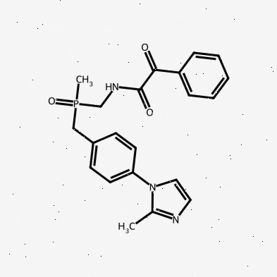 Cc1nccn1-c1ccc(CP(C)(=O)CNC(=O)C(=O)c2ccccc2)cc1